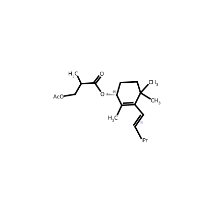 CC(=O)OCC(C)C(=O)O[C@@H]1CCC(C)(C)C(/C=C/C(C)C)=C1C